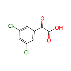 O=C(O)C(=O)c1cc(Cl)cc(Cl)c1